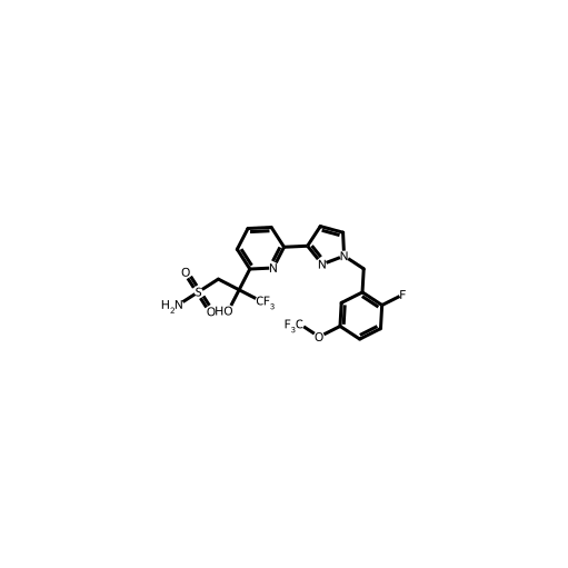 NS(=O)(=O)CC(O)(c1cccc(-c2ccn(Cc3cc(OC(F)(F)F)ccc3F)n2)n1)C(F)(F)F